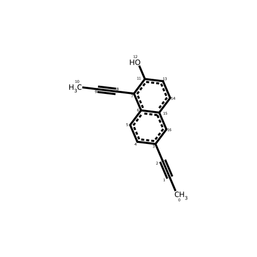 CC#Cc1ccc2c(C#CC)c(O)ccc2c1